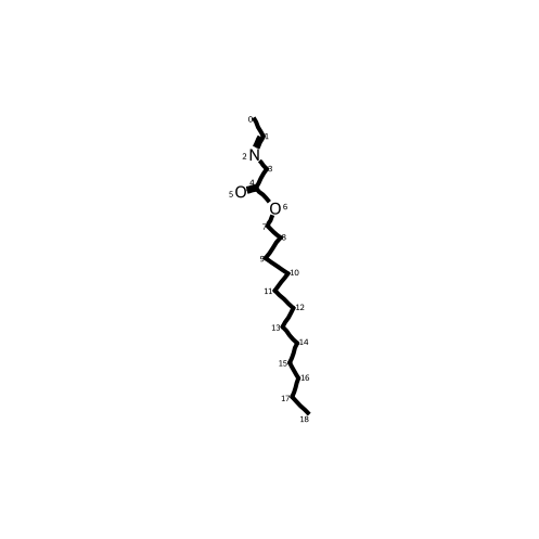 CC=NCC(=O)OCCCCCCCCCCCC